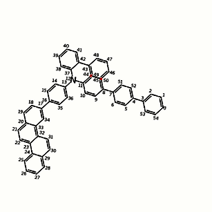 c1ccc(-c2ccc(-c3ccc(N(c4ccc(-c5ccc6ccc7c8ccccc8ccc7c6c5)cc4)c4ccccc4-c4ccccc4)cc3)cc2)cc1